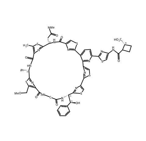 CNC(=O)C[C@@H]1NC(=O)c2csc(n2)-c2ccc(-c3nc(NC(=O)C4CC[C@H]4C(=O)O)cs3)nc2-c2csc(n2)-c2csc(n2)[C@H]([C@@H](O)c2ccccc2)NC(=O)CNC(=O)c2nc(sc2COC)[C@H](C(C)C)NC(=O)c2nc1sc2C